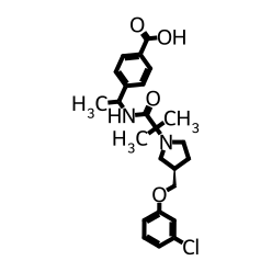 CC(NC(=O)C(C)(C)N1CC[C@@H](COc2cccc(Cl)c2)C1)c1ccc(C(=O)O)cc1